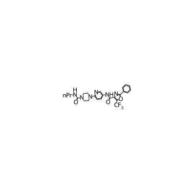 CCCNC(=O)N1CCN(c2ccc(NC(=O)c3nc(-c4ccccc4)oc3C(F)(F)F)cn2)CC1